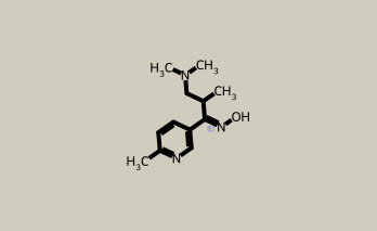 Cc1ccc(/C(=N/O)C(C)CN(C)C)cn1